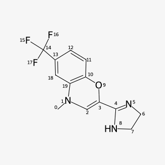 CN1C=C(C2=NCCN2)Oc2ccc(C(F)(F)F)cc21